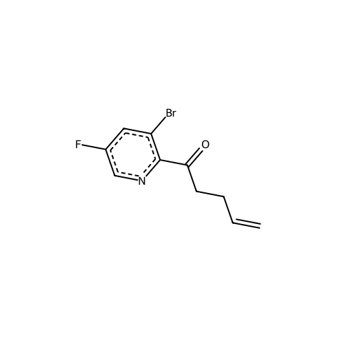 C=CCCC(=O)c1ncc(F)cc1Br